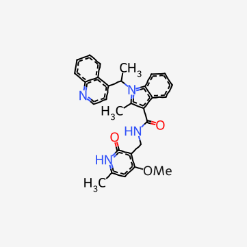 COc1cc(C)[nH]c(=O)c1CNC(=O)c1c(C)n(C(C)c2ccnc3ccccc23)c2ccccc12